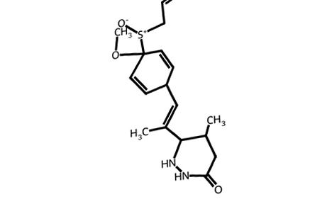 C=CC[S+]([O-])C1(OC)C=CC(/C=C(\C)C2NNC(=O)CC2C)C=C1